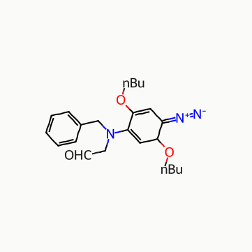 CCCCOC1=CC(=[N+]=[N-])C(OCCCC)C=C1N(CC=O)Cc1ccccc1